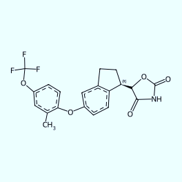 Cc1cc(OC(F)(F)F)ccc1Oc1ccc2c(c1)CC[C@H]2C1OC(=O)NC1=O